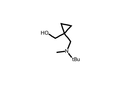 CN(CC1(CO)CC1)C(C)(C)C